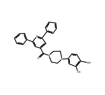 N#Cc1cc(N2CCN(C(=O)c3cc(-c4ccccc4)nc(-c4ccccc4)c3)CC2)ccc1O